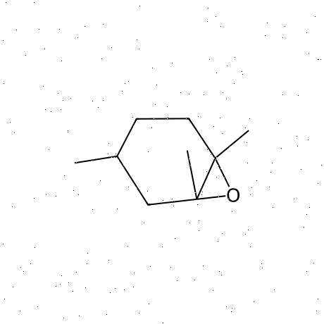 CC1CCC2(C)OC2(C)C1